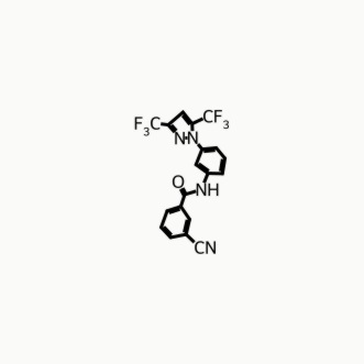 N#Cc1cccc(C(=O)Nc2cccc(-n3nc(C(F)(F)F)cc3C(F)(F)F)c2)c1